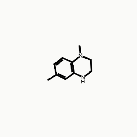 Cc1ccc2c(c1)NCCN2C